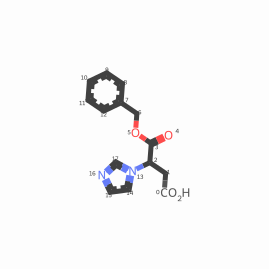 O=C(O)CC(C(=O)OCc1ccccc1)n1ccnc1